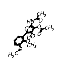 COc1cccc(-c2oc(NC(C)=O)c(OC(C)=O)c2O)c1OC